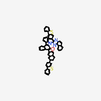 c1ccc2c(c1)ccc1nc(-c3ccc4c(c3)sc3ccccc34)c(-n3c4ccccc4c4c5ccccc5c5c6cc7cc(-c8ccc9c(c8)sc8ccccc89)ccc7cc6oc5c43)nc12